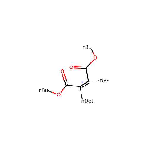 CCCCCCCCCC/C(C(=O)OCCCC)=C(\CCCCCCCC)C(=O)OCCCC